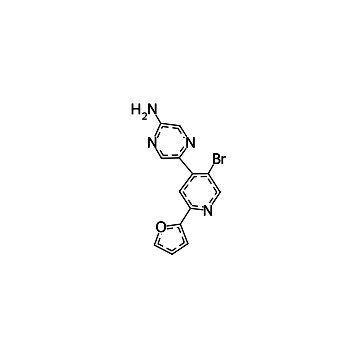 Nc1cnc(-c2cc(-c3ccco3)ncc2Br)cn1